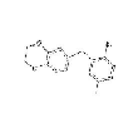 CCc1ccc(I)cc1Cc1ccc2c(c1)OCCO2